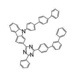 c1ccc(-c2ccc(-c3ccc(-n4c5ccccc5c5ccc(-c6nc(-c7ccccc7)nc(-c7ccc(-c8cccc(-c9ccccc9)c8)cc7)n6)cc54)cc3)cc2)cc1